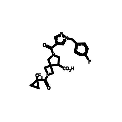 O=C(O)C1CN(C(=O)c2cnn(Cc3ccc(F)cc3)c2)CC12CN(C(=O)C1(C(F)(F)F)CC1)C2